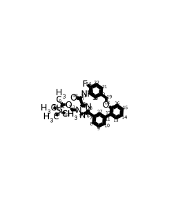 CC(OCn1nc(-c2cccc(-c3ccccc3OCc3ccc(F)cc3)c2)nc1C(N)=O)[Si](C)(C)C